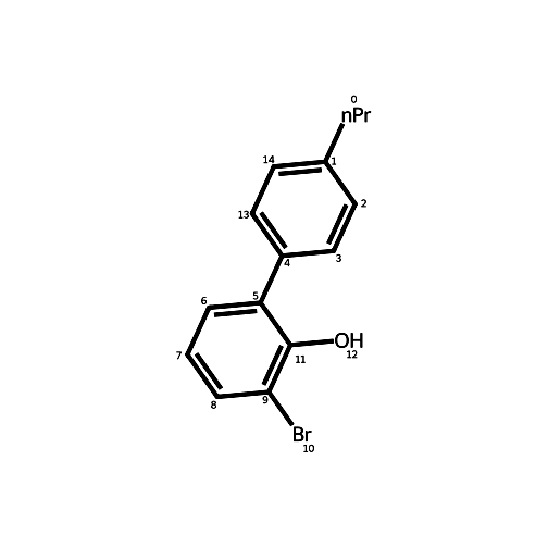 CCCc1ccc(-c2cccc(Br)c2O)cc1